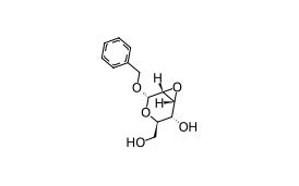 OC[C@H]1O[C@H](OCc2ccccc2)[C@@H]2O[C@@H]2[C@@H]1O